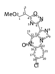 COCC(C)c1nc(-c2ncn3c2c(C)[n+]([O-])c2cc(Cl)ccc23)no1